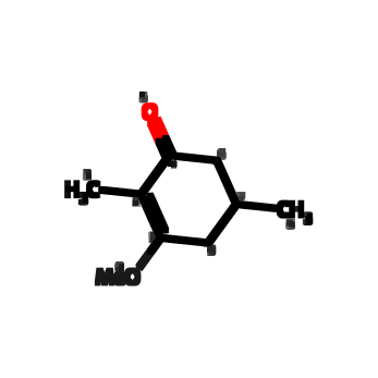 COC1=C(C)C(=O)CC(C)C1